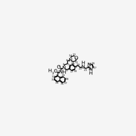 CC(NC(=O)N(CCCN1CCOCC1)Cc1ccc(CCNCc2ncc[nH]2)cc1)c1cccc2ccccc12